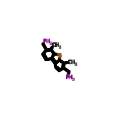 CC1=C(CP)C=CC2=C3C=CC(CP)=C(C)C3SC12